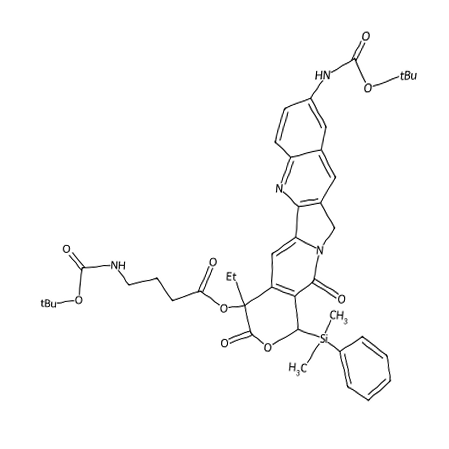 CCC1(OC(=O)CCCNC(=O)OC(C)(C)C)C(=O)OC([Si](C)(C)c2ccccc2)c2c1cc1n(c2=O)Cc2cc3cc(NC(=O)OC(C)(C)C)ccc3nc2-1